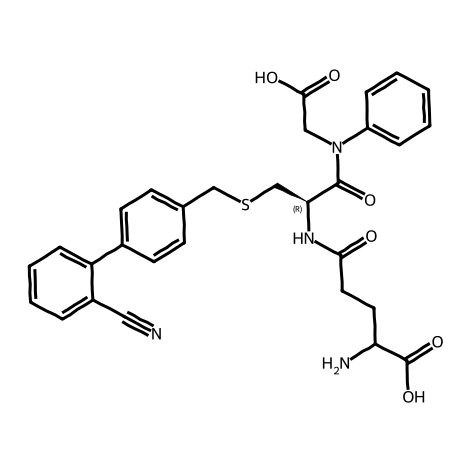 N#Cc1ccccc1-c1ccc(CSC[C@H](NC(=O)CCC(N)C(=O)O)C(=O)N(CC(=O)O)c2ccccc2)cc1